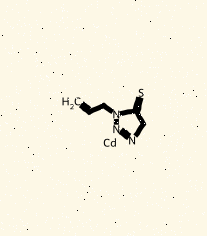 C=CCN1N=NCC1=S.[Cd]